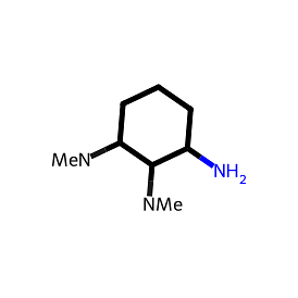 CNC1CCCC(N)C1NC